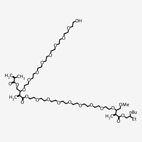 C=C(C)C(=O)OCC(OCCOCCOCCOCCOCCOCCOCCOCCO)C(=C)C(=O)OCCOCCOCCOCCOCCOCCOCCOCCOC(COC)C(=C)C(=O)OCC(CC)CCCC